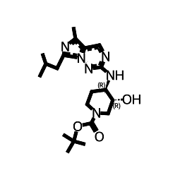 Cc1nc(CC(C)C)n2nc(N[C@@H]3CCN(C(=O)OC(C)(C)C)C[C@H]3O)ncc12